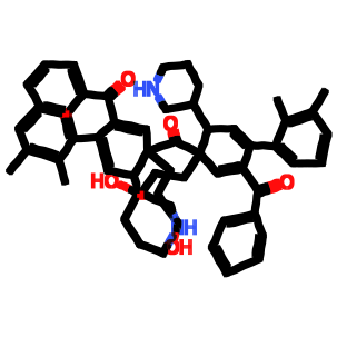 Cc1cccc(C2=CC(C3CCCNC3)C(CCCO)(C(=O)C3(CCCO)C=C(C(=O)c4ccccc4)C(c4cccc(C)c4C)=CC3C3CCCNC3)C=C2C(=O)c2ccccc2)c1C